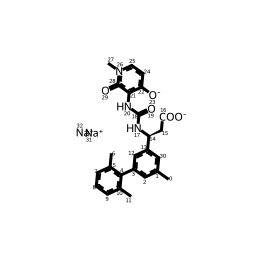 Cc1cc(-c2c(C)cccc2C)cc([C@H](CC(=O)[O-])NC(=O)Nc2c([O-])ccn(C)c2=O)c1.[Na+].[Na+]